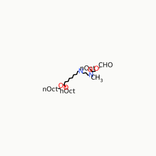 CCCCCCCCC(CCCCCCCC)OC(=O)CCCCCCCN(CCCCCCCC)CCCN(C)C(=O)COCC=O